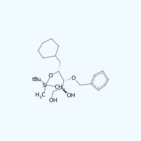 CC(C)(C)[Si](C)(C)O[C@H](CC1CCCCC1)[C@H](OCc1ccccc1)[C@@H](O)CO